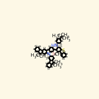 CB1c2cc3c(cc2-n2c4cc5c(cc4c4ccc(-c6cc7c(cc6Nc6ccc(C(C)(C)C)cc6)sc6ccccc67)c1c42)-c1ccccc1C5(C)C)-c1ccccc1C3(C)C